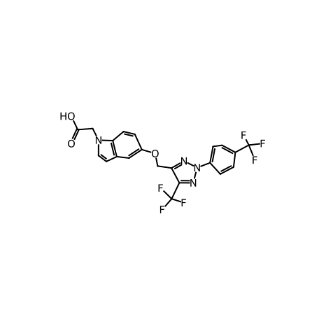 O=C(O)Cn1ccc2cc(OCc3nn(-c4ccc(C(F)(F)F)cc4)nc3C(F)(F)F)ccc21